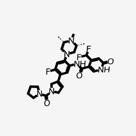 C[C@@H]1CN(c2cc(F)c(C3=CCN(C(=O)N4CCCC4)C3)cc2NC(=O)c2c[nH]c(=O)cc2C(F)F)C[C@H](C)N1C